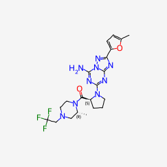 Cc1ccc(-c2nc3nc(N4CCC[C@H]4C(=O)N4CCN(CC(F)(F)F)C[C@H]4C)nc(N)n3n2)o1